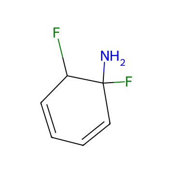 NC1(F)C=CC=CC1F